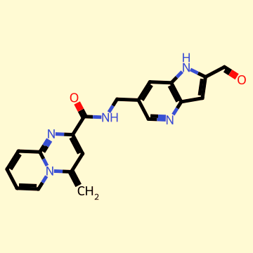 C=C1C=C(C(=O)NCc2cnc3cc(C=O)[nH]c3c2)N=C2C=CC=CN12